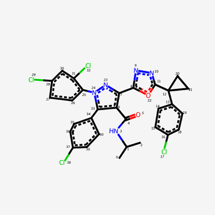 CC(C)NC(=O)c1c(-c2nnc(C3(c4ccc(Cl)cc4)CC3)o2)nn(-c2ccc(Cl)cc2Cl)c1-c1ccc(Cl)cc1